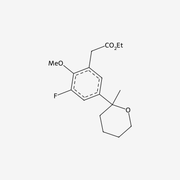 CCOC(=O)Cc1cc(C2(C)CCCCO2)cc(F)c1OC